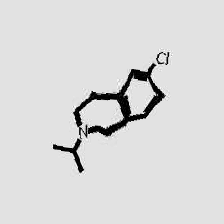 CC(C)N1CCc2cc(Cl)ccc2C1